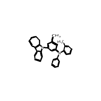 Cc1cc(N(c2ccccc2)c2ccccc2C)cc(-n2c3c(c4ccccc42)C=CCCC3)c1